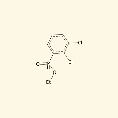 CCO[PH](=O)c1cccc(Cl)c1Cl